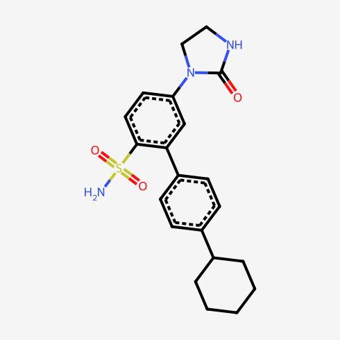 NS(=O)(=O)c1ccc(N2CCNC2=O)cc1-c1ccc(C2CCCCC2)cc1